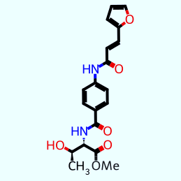 COC(=O)[C@@H](NC(=O)c1ccc(NC(=O)/C=C/c2ccco2)cc1)[C@@H](C)O